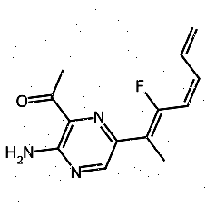 C=C/C=C\C(F)=C(/C)c1cnc(N)c(C(C)=O)n1